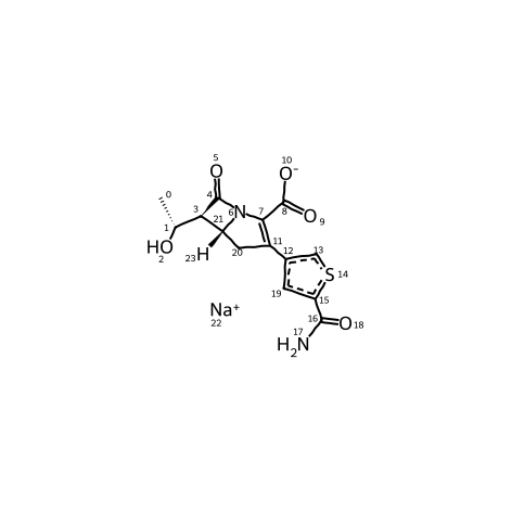 C[C@@H](O)[C@H]1C(=O)N2C(C(=O)[O-])=C(c3csc(C(N)=O)c3)C[C@H]12.[Na+]